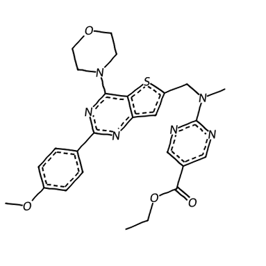 CCOC(=O)c1cnc(N(C)Cc2cc3nc(-c4ccc(OC)cc4)nc(N4CCOCC4)c3s2)nc1